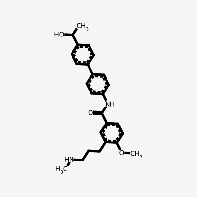 CNCCCc1cc(C(=O)Nc2ccc(-c3ccc(C(C)O)cc3)cc2)ccc1OC